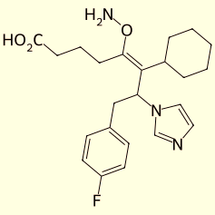 NOC(CCCC(=O)O)=C(C1CCCCC1)C(Cc1ccc(F)cc1)n1ccnc1